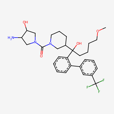 COCCCCC(O)(c1ccccc1-c1cccc(C(F)(F)F)c1)C1CCCN(C(=O)N2CC(N)C(O)C2)C1